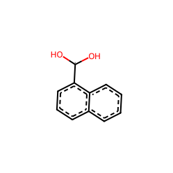 O[C](O)c1cccc2ccccc12